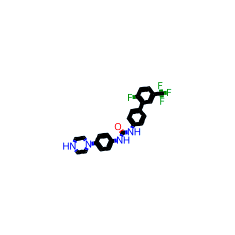 O=C(Nc1ccc(-c2cc(C(F)(F)F)ccc2F)cc1)Nc1ccc(N2CCNCC2)cc1